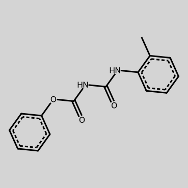 Cc1ccccc1NC(=O)NC(=O)Oc1ccccc1